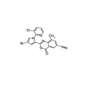 Cc1cc(C#N)cc2c(=O)oc(-c3cc(Br)cn3-c3ncccc3Cl)nc12